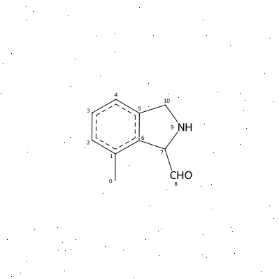 Cc1cccc2c1C(C=O)NC2